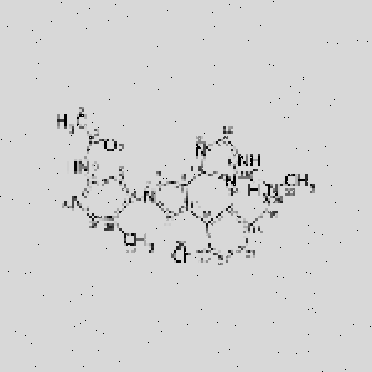 CC(=O)Nc1cc(-n2cc(-c3nc[nH]n3)c(-c3cc(CN(C)C)ccc3Cl)c2)c(C)cn1